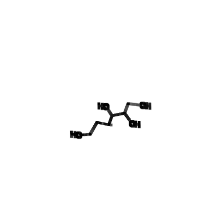 OCC[CH]C(O)C(O)CO